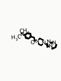 CN(C)c1ccc(CC(=O)N2CCN(c3cn4cccnc4n3)CC2)cc1